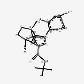 CC(C)(C)NC(=O)c1nn(-c2ccc(F)cc2F)c2c1[C@@H]1CC[C@@]2(C)C1(C)C